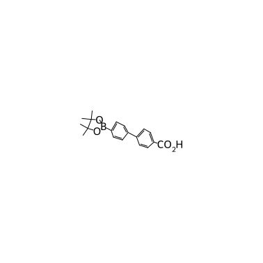 CC1(C)OB(c2ccc(-c3ccc(C(=O)O)cc3)cc2)OC1(C)C